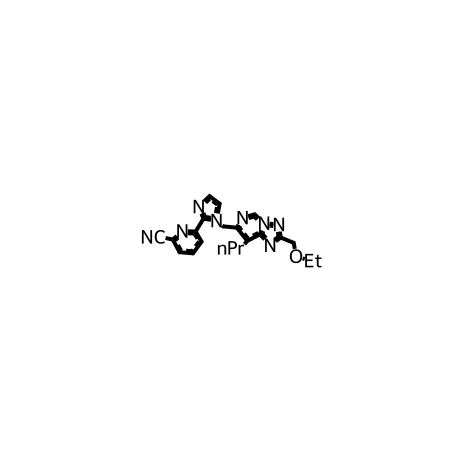 CCCc1c(Cn2ccnc2-c2cccc(C#N)n2)ncn2nc(COCC)nc12